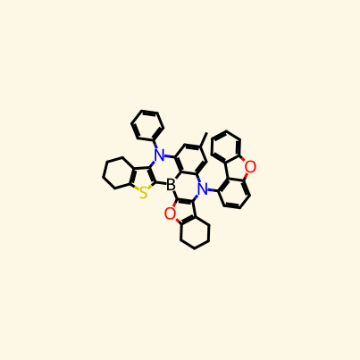 Cc1cc2c3c(c1)N(c1cccc4oc5ccccc5c14)c1c(oc4c1CCCC4)B3c1sc3c(c1N2c1ccccc1)CCCC3